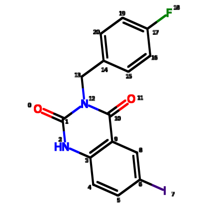 O=c1[nH]c2ccc(I)cc2c(=O)n1Cc1ccc(F)cc1